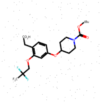 CC(C)(C)OC(=O)N1CCC(Oc2ccc(CC(=O)O)c(OCC(F)(F)C(F)(F)F)c2)CC1